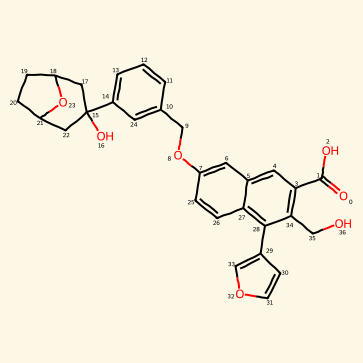 O=C(O)c1cc2cc(OCc3cccc(C4(O)CC5CCC(C4)O5)c3)ccc2c(-c2ccoc2)c1CO